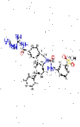 CS(=O)(=O)c1cccc(NC(=O)N(Cc2ccc(C(=O)NC(=N)/N=N\N)cc2)c2ccc(C3CCCCC3)cc2)c1